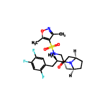 Cc1noc(C)c1S(=O)(=O)NCC(=O)N1[C@@H]2CC[C@H]1C[C@H]([C@H](C)Cc1cc(F)c(F)cc1F)C2